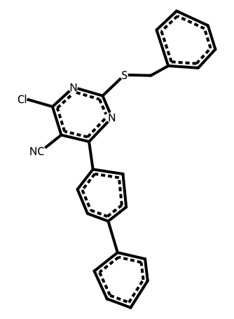 N#Cc1c(Cl)nc(SCc2ccccc2)nc1-c1ccc(-c2ccccc2)cc1